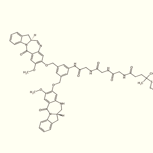 COc1cc2c(cc1OCc1cc(COc3cc4c(cc3OC)C(=O)N3c5ccccc5C[C@H]3CN4)cc(NC(=O)CNC(=O)CNC(=O)CNC(=O)CCC(C)(C)SSNN)c1)N=C[C@@H]1Cc3ccccc3N1C2=O